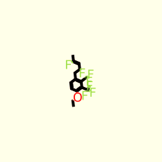 CCOc1ccc(CC/C=C(/C)F)c(C(F)(F)F)c1C(F)(F)F